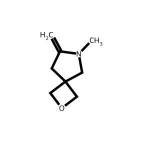 C=C1CC2(COC2)CN1C